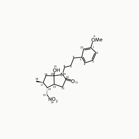 COc1cccc(CCCN2C(=O)CC3[C@H](C[N+](=O)[O-])[C@@H](C)CC32O)c1